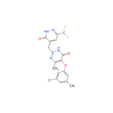 Cc1nc(Cc2cc(C(F)F)n[nH]c2=O)[nH]c(=O)c1Oc1cc(Cl)cc(C#N)c1